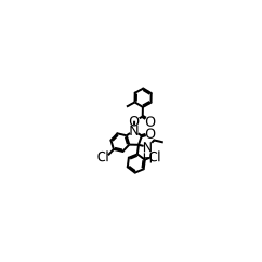 CCNC1(c2ccccc2Cl)C(=O)N(OC(=O)c2ccccc2C)c2ccc(Cl)cc21